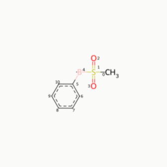 CS(=O)(=O)[B]c1ccccc1